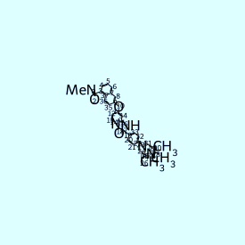 CNC(=O)c1cccc2cc(Oc3ccnc(NC(=O)c4ccc(N5C[C@@H](C)N(C)[C@@H](C)C5)cc4)c3)ccc12